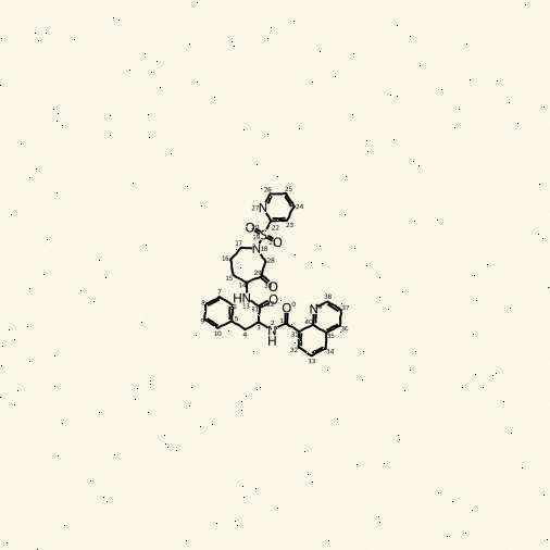 O=C(NC(Cc1ccccc1)C(=O)NC1CCCN(S(=O)(=O)c2ccccn2)CC1=O)c1cccc2cccnc12